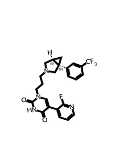 O=c1[nH]c(=O)n(CCCN2C[C@H]3C[C@@]3(c3cccc(C(F)(F)F)c3)C2)cc1-c1cccnc1F